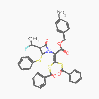 C[C@H](F)[C@H]1C(=O)N(C(C(=O)OCc2ccc([N+](=O)[O-])cc2)=C(SC(=O)c2ccccc2)SC(=O)c2ccccc2)[C@H]1Sc1ccccc1